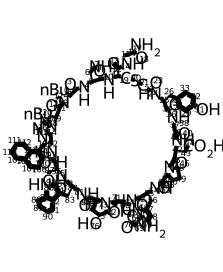 CCCC[C@H]1C(=O)N[C@@H](CN)C(=O)N[C@H](C(=O)NCC(N)=O)CSCC(=O)N[C@@H](Cc2ccc(O)cc2)C(=O)N[C@H](C)C(=O)N[C@@H](CC(=O)O)C(=O)N2CCC[C@H]2C(=O)N[C@@H](Cc2cnc[nH]2)C(=O)N[C@@H](CCC(N)=O)C(=O)N2C[C@H](O)C[C@H]2C(=O)N[C@@H](Cc2c[nH]c3ccccc23)C(=O)N[C@@H](CO)C(=O)N[C@@H](Cc2cccc3ccccc23)c2nnnn2[C@@H](CCCC)C(=O)N1C